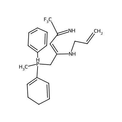 C=CCN/C(=C\C(=N)C(F)(F)F)C[PH](C)(C1=CCCC=C1)c1ccccc1